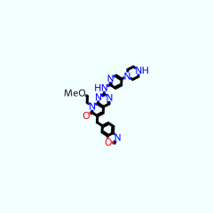 COCCn1c(=O)c(Cc2ccc3ncoc3c2)cc2cnc(Nc3ccc(N4CCNCC4)cn3)nc21